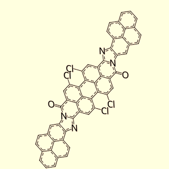 O=c1c2cc(Cl)c3c4c(Cl)cc5c6c(cc(Cl)c(c7c(Cl)cc(c2c37)c2nc3c7ccc8cccc9ccc(cc3n12)c7c98)c46)c(=O)n1c2cc3ccc4cccc6ccc(c2nc51)c3c46